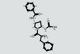 NC(Cc1ccccc1)C(=O)N1C[C@H](NC(=O)c2ccccc2)C[C@@H]1OC(=O)O